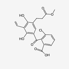 C=Cc1c(O)c(CCC(=O)OC)cc(C(=O)c2c(Cl)cccc2C(=O)O)c1O